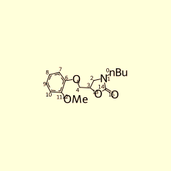 CCCCN1CC(COc2ccccc2OC)OC1=O